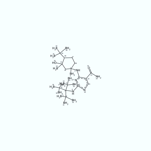 BC1(Nc2nc(NC(C(B)(B)B)(C(B)(B)B)C(B)(B)B)ncc2C(N)=O)CCC(C(B)(B)B)C(B)(O)C1